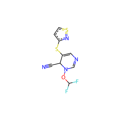 N#CC1C(Sc2ccsn2)=CN=CN1OC(F)F